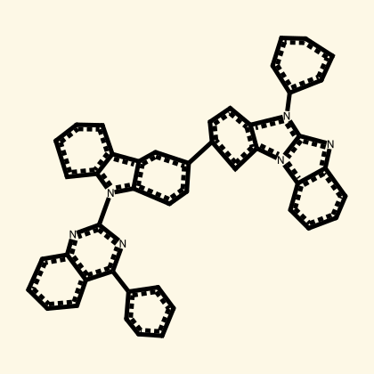 c1ccc(-c2nc(-n3c4ccccc4c4cc(-c5ccc6c(c5)n5c7ccccc7nc5n6-c5ccccc5)ccc43)nc3ccccc23)cc1